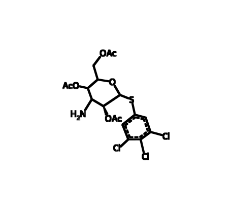 CC(=O)OCC1OC(Sc2cc(Cl)c(Cl)c(Cl)c2)[C@@H](OC(C)=O)C(N)C1OC(C)=O